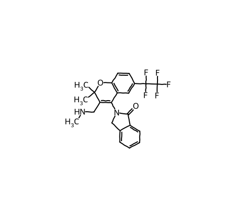 CNCC1=C(N2Cc3ccccc3C2=O)c2cc(C(F)(F)C(F)(F)F)ccc2OC1(C)C